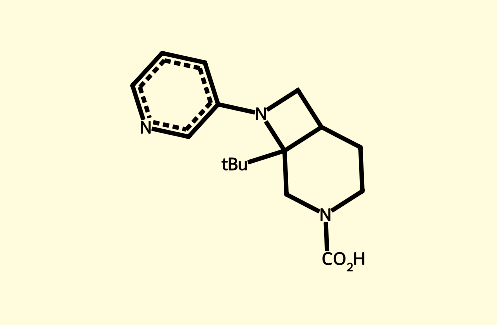 CC(C)(C)C12CN(C(=O)O)CCC1CN2c1cccnc1